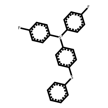 Fc1ccc([S+](c2ccc(F)cc2)c2ccc(Sc3ccccc3)cc2)cc1